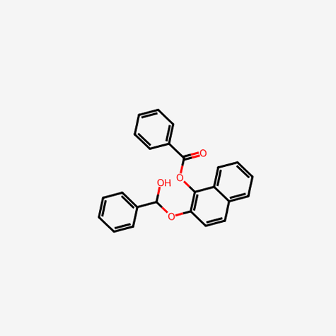 O=C(Oc1c(OC(O)c2ccccc2)ccc2ccccc12)c1ccccc1